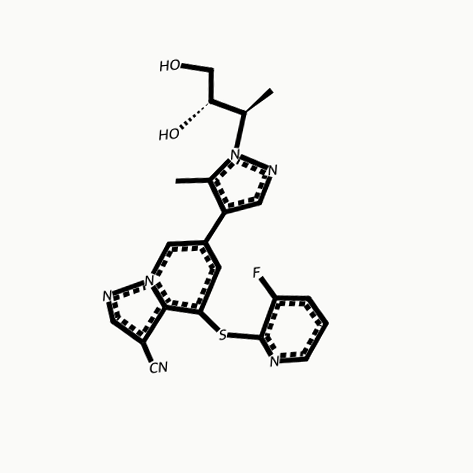 Cc1c(-c2cc(Sc3ncccc3F)c3c(C#N)cnn3c2)cnn1[C@H](C)[C@H](O)CO